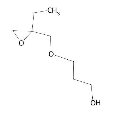 CCC1(COCCCO)CO1